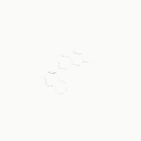 CC(Oc1cc(Br)cnc1N)c1cc(F)cc2cccnc12